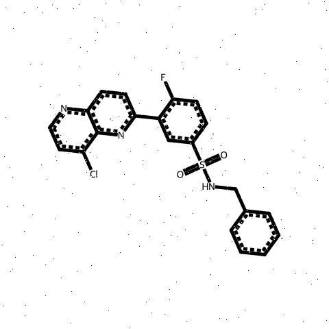 O=S(=O)(NCc1ccccc1)c1ccc(F)c(-c2ccc3nccc(Cl)c3n2)c1